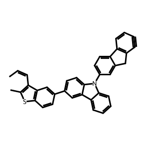 C/C=C\c1c(C)sc2ccc(-c3ccc4c(c3)c3ccccc3n4-c3ccc4c(c3)Cc3c#cccc3-4)cc12